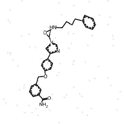 NC(=O)c1cccc(COc2ccc(-c3cn(C4OC4NCCCCc4ccccc4)cn3)cc2)c1